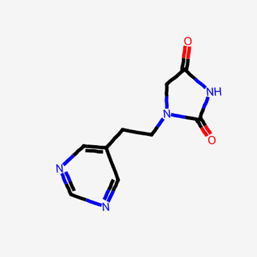 O=C1CN(CCc2cncnc2)C(=O)N1